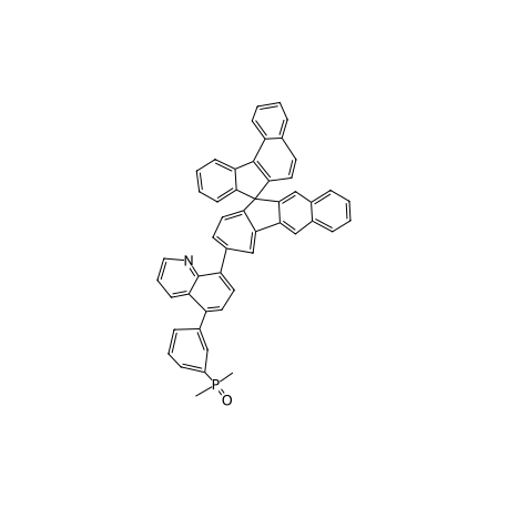 CP(C)(=O)c1cccc(-c2ccc(-c3ccc4c(c3)-c3cc5ccccc5cc3C43c4ccccc4-c4c3ccc3ccccc43)c3ncccc23)c1